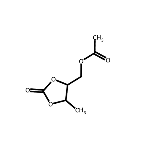 CC(=O)OCC1OC(=O)OC1C